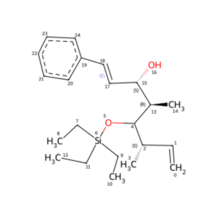 C=C[C@H](C)C(O[Si](CC)(CC)CC)[C@H](C)[C@@H](O)/C=C/c1ccccc1